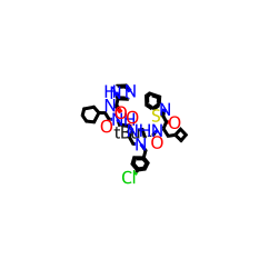 CC(C)(C)[C@H](NC(=O)[C@@H](NC(=O)c1cnccn1)C1CCCCC1)C(=O)N1CCN(Cc2ccc(Cl)cc2)[C@@H](C(=O)NC(CC2CCC2)C(=O)c2nc3ccccc3s2)C1